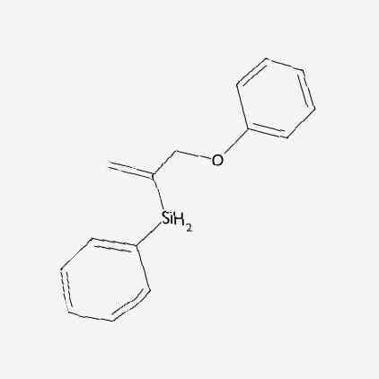 C=C(COc1ccccc1)[SiH2]c1ccccc1